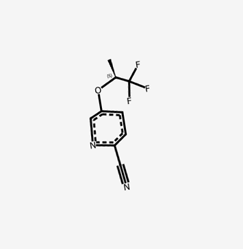 C[C@H](Oc1ccc(C#N)nc1)C(F)(F)F